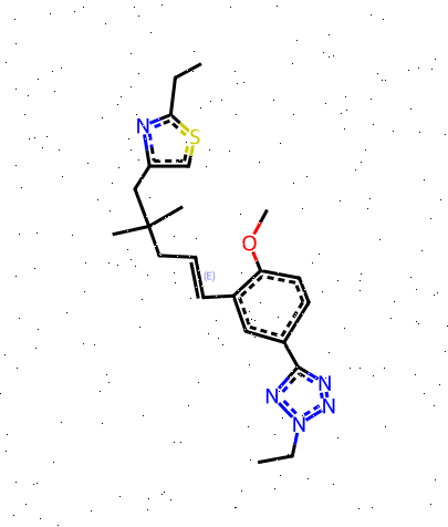 CCc1nc(CC(C)(C)C/C=C/c2cc(-c3nnn(CC)n3)ccc2OC)cs1